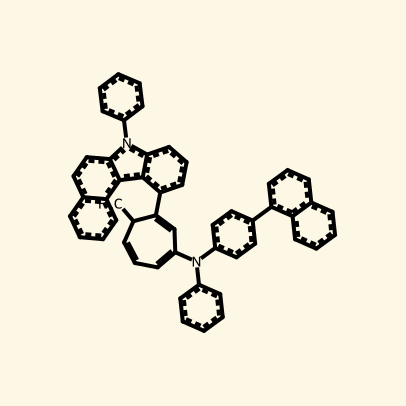 CC1C=CC=C(N(c2ccccc2)c2ccc(-c3cccc4ccccc34)cc2)C=C1c1cccc2c1c1c3ccccc3ccc1n2-c1ccccc1